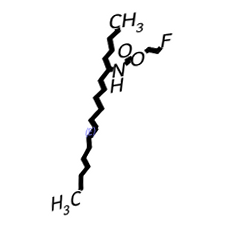 CCCCCC/C=C/CCCCCC(CCCCC)NC(=O)OCCF